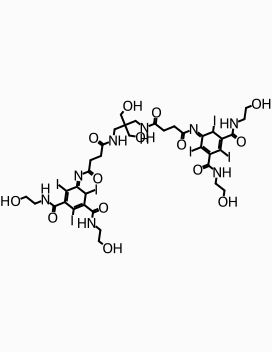 O=C(CCC(=O)NCC(CO)(CO)CNC(=O)CCC(=O)N=C1C(I)=C(C(=O)NCCO)C(I)=C(C(=O)NCCO)C1I)N=C1C(I)=C(C(=O)NCCO)C(I)=C(C(=O)NCCO)C1I